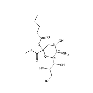 CCCCC(=O)OC1(C(=O)OC)C[C@H](O)[C@@H](N)[C@H](C(O)C(O)CO)O1